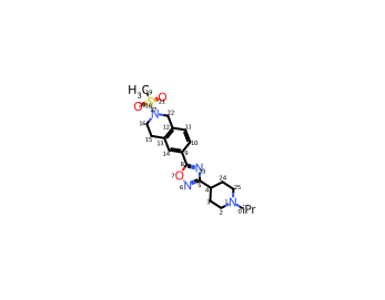 CC(C)N1CCC(c2noc(-c3ccc4c(c3)CCN(S(C)(=O)=O)C4)n2)CC1